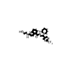 O=C(NCC(c1cnc(C(F)(F)F)nc1)N1CCCCCC1)c1cccc2nc(NCCO)ccc12